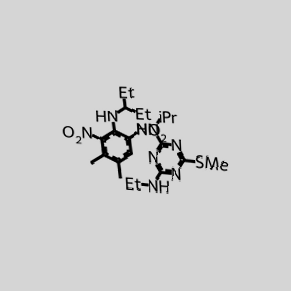 CCC(CC)Nc1c([N+](=O)[O-])cc(C)c(C)c1[N+](=O)[O-].CCNc1nc(NC(C)C)nc(SC)n1